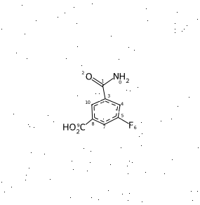 NC(=O)c1cc(F)cc(C(=O)O)c1